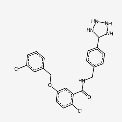 O=C(NCc1ccc(C2NNNN2)cc1)c1cc(OCc2cccc(Cl)c2)ccc1Cl